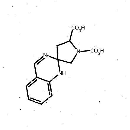 O=C(O)C1CC2(CN1C(=O)O)N=Cc1ccccc1N2